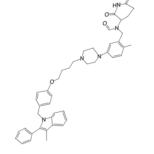 Cc1ccc(N2CCN(CCCCOc3ccc(Cn4c(-c5ccccc5)c(C)c5ccccc54)cc3)CC2)cc1CN(C=O)C1CCC(=O)NC1=O